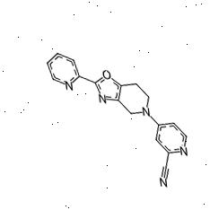 N#Cc1cc(N2CCc3oc(-c4ccccn4)nc3C2)ccn1